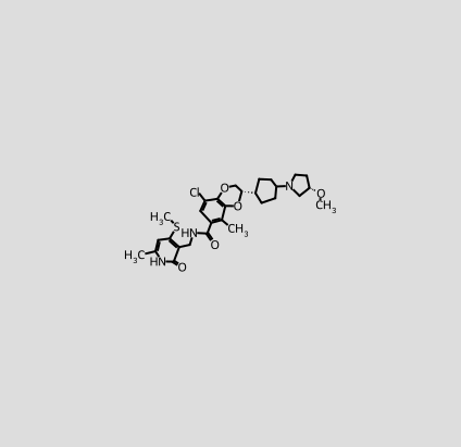 CO[C@H]1CCN(C2CCC([C@H]3COc4c(Cl)cc(C(=O)NCc5c(SC)cc(C)[nH]c5=O)c(C)c4O3)CC2)C1